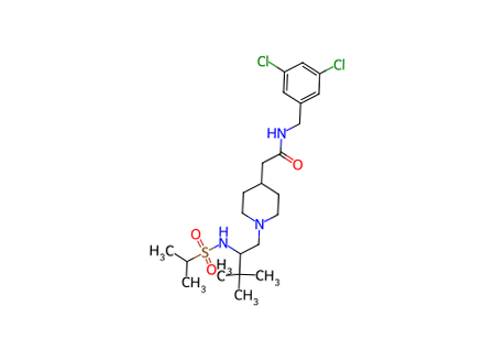 CC(C)S(=O)(=O)NC(CN1CCC(CC(=O)NCc2cc(Cl)cc(Cl)c2)CC1)C(C)(C)C